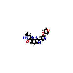 O=C1NC2(CC2)Cc2[nH]c3c(c21)CCc1cnc(-c2cncc(OC4CCOCC4)c2)cc1-3